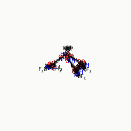 CC1(C)O[C@@H]2[C@@H](Nc3cncc(C(F)(F)F)n3)[C@H]3OC[C@](COCCCCCCNC(=O)CCOCC(COCCC(=O)NCCCCCCOC[C@@]45CO[C@@H](O4)[C@H](Nc4cncc(C(F)(F)F)n4)[C@H]4OC(C)(C)O[C@H]45)(COCCC(=O)NCCCCCCOC[C@@]45CO[C@@H](O4)[C@H](Nc4cncc(C(F)(F)F)n4)[C@H]4OC(C)(C)O[C@H]45)NC(=O)OCC4c5ccccc5-c5ccccc54)(O3)[C@@H]2O1